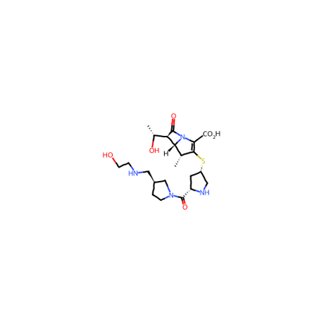 C[C@@H](O)[C@H]1C(=O)N2C(C(=O)O)=C(S[C@@H]3CN[C@H](C(=O)N4CC[C@@H](CNCCO)C4)C3)[C@H](C)[C@H]12